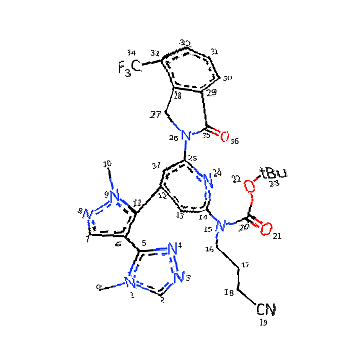 Cn1cnnc1-c1cnn(C)c1-c1cc(N(CCCC#N)C(=O)OC(C)(C)C)nc(N2Cc3c(cccc3C(F)(F)F)C2=O)c1